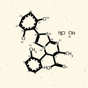 CC1=C(C(=O)O)C(c2ccccc2C)N2C=C(c3c(Cl)cccc3Cl)SC2=N1.Cl.Cl